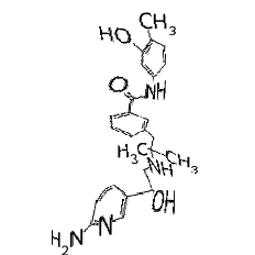 Cc1ccc(NC(=O)c2cccc(CC(C)(C)NC[C@@H](O)c3ccc(N)nc3)c2)cc1O